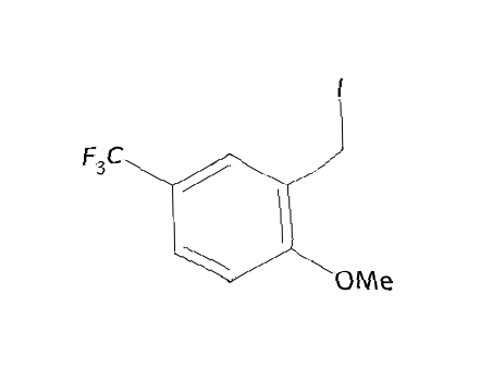 COc1ccc(C(F)(F)F)cc1CI